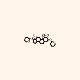 C[C@]12CCC3C(CC=C4C[C@@H](OC5CCCCO5)CC[C@@]43CC=O)C1CC[C@@H]2OC1CCCCO1